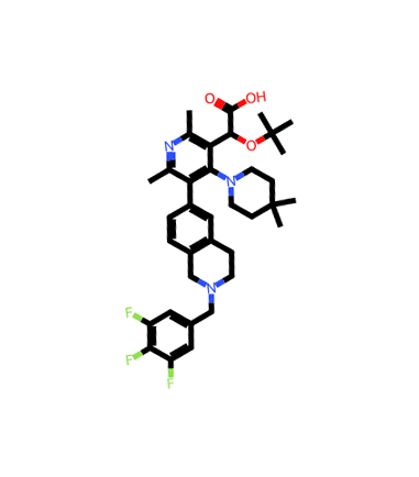 Cc1nc(C)c(C(OC(C)(C)C)C(=O)O)c(N2CCC(C)(C)CC2)c1-c1ccc2c(c1)CCN(Cc1cc(F)c(F)c(F)c1)C2